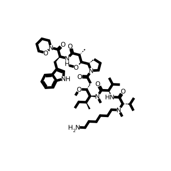 CC[C@H](C)[C@@H]([C@@H](CC(=O)N1CCC[C@H]1[C@H](OC)[C@@H](C)C(=O)N[C@@H](Cc1c[nH]c2ccccc12)C(=O)N1CCCCO1)OC)N(C)C(=O)[C@@H](NC(=O)[C@H](C(C)C)N(C)CCCCCCN)C(C)C